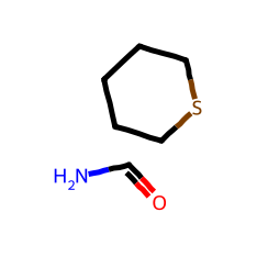 C1CCSCC1.NC=O